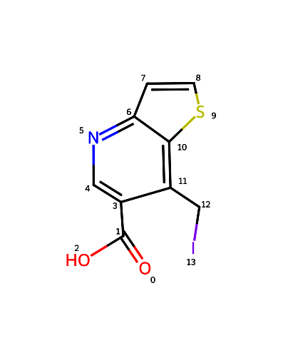 O=C(O)c1cnc2ccsc2c1CI